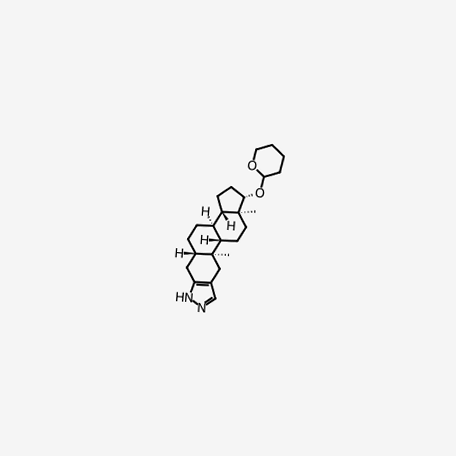 C[C@]12Cc3cn[nH]c3C[C@@H]1CC[C@@H]1[C@@H]2CC[C@]2(C)[C@@H](OC3CCCCO3)CC[C@@H]12